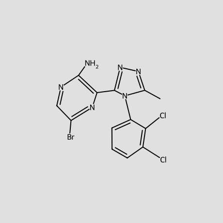 Cc1nnc(-c2nc(Br)cnc2N)n1-c1cccc(Cl)c1Cl